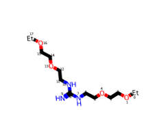 CCOCCOCCNC(=N)NCCOCCOCC